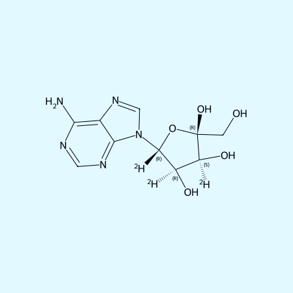 [2H][C@]1(O)[C@@]([2H])(O)[C@]([2H])(n2cnc3c(N)ncnc32)O[C@]1(O)CO